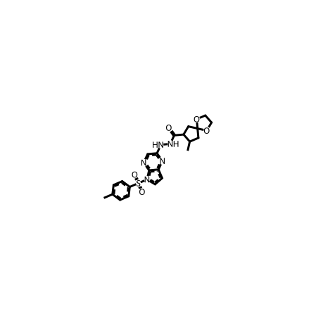 Cc1ccc(S(=O)(=O)n2ccc3nc(NNC(=O)C4CC5(CC4C)OCCO5)cnc32)cc1